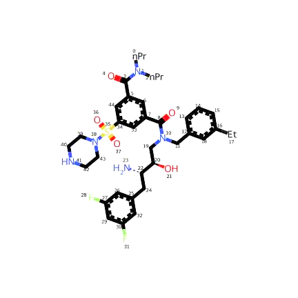 CCCN(CCC)C(=O)c1cc(C(=O)N(Cc2cccc(CC)c2)C[C@@H](O)[C@@H](N)Cc2cc(F)cc(F)c2)cc(S(=O)(=O)N2CCNCC2)c1